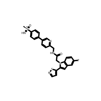 C[S@@](=N)(=O)c1ccc(-c2ccc(CNC(=O)Cn3c(-c4ccns4)cc4cc(F)ccc43)nc2)cc1